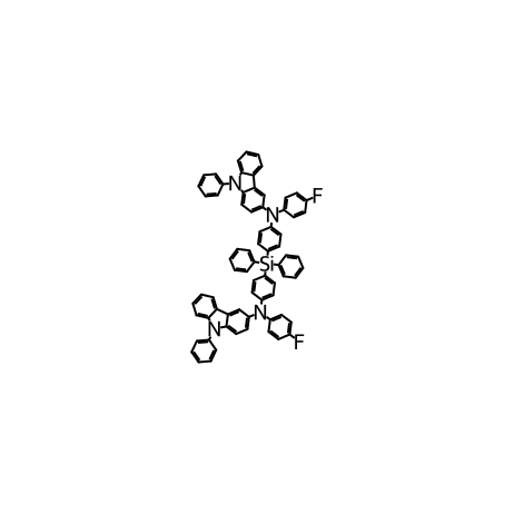 Fc1ccc(N(c2ccc([Si](c3ccccc3)(c3ccccc3)c3ccc(N(c4ccc(F)cc4)c4ccc5c(c4)c4ccccc4n5-c4ccccc4)cc3)cc2)c2ccc3c(c2)c2ccccc2n3-c2ccccc2)cc1